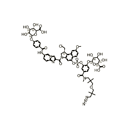 COc1ccc2c(OS(=O)(=O)Oc3cc(C(=O)N(C)CC(C)(C)COCC(C)(C)CN=[N+]=[N-])ccc3O[C@@H]3O[C@H](C(=O)O)[C@@H](O)C(O)[C@H]3O)cc3c(c2c1)[C@H](CCl)CN3C(=O)c1cn2cc(NC(=O)c3ccc(O[C@@H]4OC(C(=O)O)[C@@H](O)[C@H](O)[C@H]4O)cc3)ccc2n1